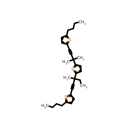 CCCCc1ccc(C#CC(C)(C)c2ccc(C(C)(C#Cc3ccc(CCCC)s3)CC)s2)s1